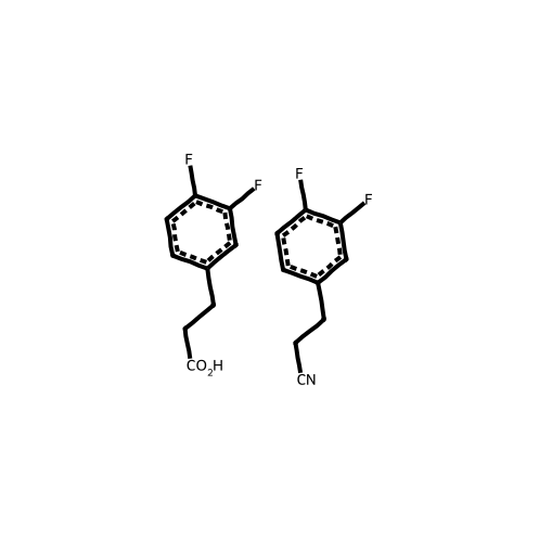 N#CCCc1ccc(F)c(F)c1.O=C(O)CCc1ccc(F)c(F)c1